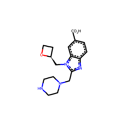 O=C(O)c1ccc2nc(CN3CCNCC3)n(C[C@@H]3CCO3)c2c1